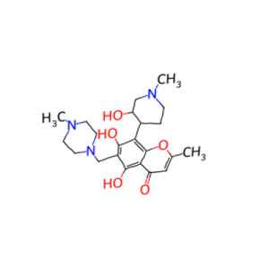 Cc1cc(=O)c2c(O)c(CN3CCN(C)CC3)c(O)c(C3CCN(C)CC3O)c2o1